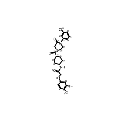 O=C(COc1ccc(Cl)c(F)c1)N[C@H]1CC[C@H](C(=O)N2CCN(c3cccc(Cl)c3)C(=O)C2)CC1